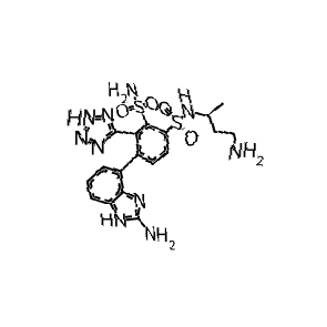 C[C@@H](CCN)NS(=O)(=O)c1ccc(-c2cccc3[nH]c(N)nc23)c(-c2nn[nH]n2)c1S(N)(=O)=O